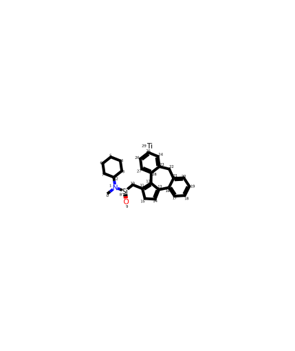 CN(C1CCCCC1)[Si](=O)CC1=C2C(=CC1)c1ccccc1Cc1ccccc12.[Ti]